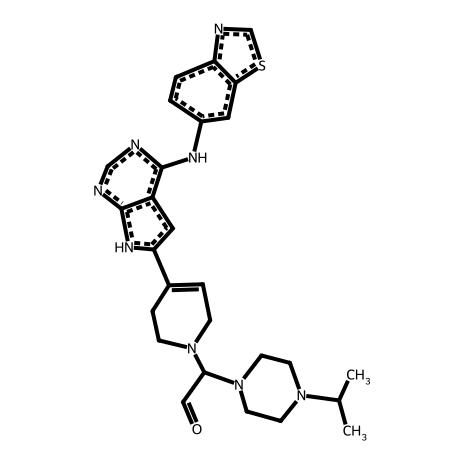 CC(C)N1CCN(C(C=O)N2CC=C(c3cc4c(Nc5ccc6ncsc6c5)ncnc4[nH]3)CC2)CC1